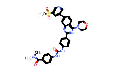 CN(C)C(=O)c1ccc(NC(=O)Nc2ccc(-c3nc(N4CCOCC4)c4ccc(-c5cncc(S(C)(=O)=O)c5)cc4n3)cc2)cc1